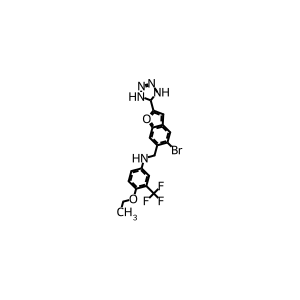 CCOc1ccc(NCc2cc3oc(C4NN=NN4)cc3cc2Br)cc1C(F)(F)F